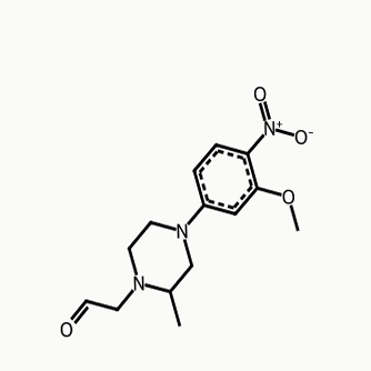 COc1cc(N2CCN(CC=O)C(C)C2)ccc1[N+](=O)[O-]